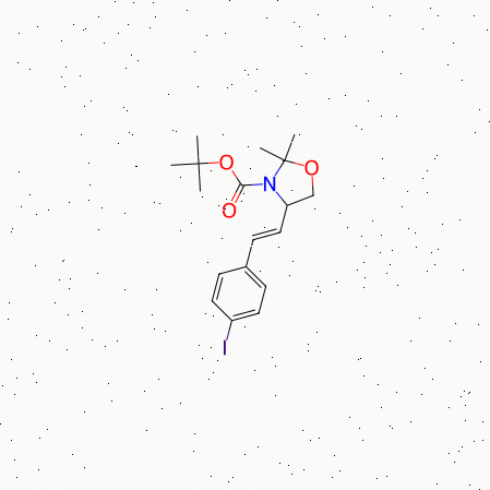 CC(C)(C)OC(=O)N1C(C=Cc2ccc(I)cc2)COC1(C)C